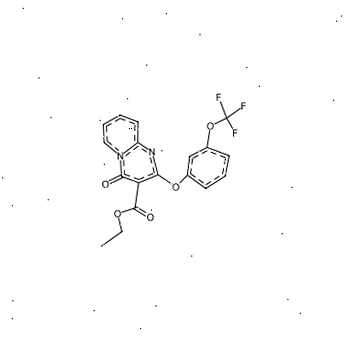 CCOC(=O)c1c(Oc2cccc(OC(F)(F)F)c2)nc2ccccn2c1=O